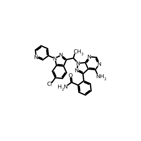 CC(c1nn(-c2cccnc2)c2cc(Cl)ccc12)n1nc(-c2ccccc2C(N)=O)c2c(N)ncnc21